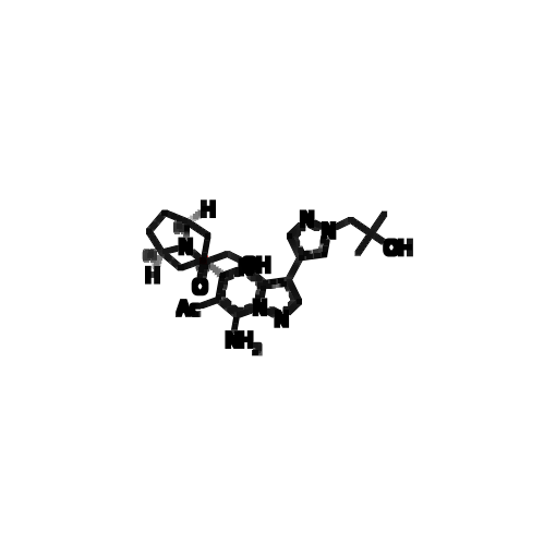 CC(=O)c1c([C@@H]2C[C@H]3CC[C@@H](C2)N3C(=O)CO)nc2c(-c3cnn(CC(C)(C)O)c3)cnn2c1N